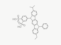 CCc1ccc2c(c1)C(c1ccccc1)c1cc3c(cc1-2)C(c1ccc(S(=O)(=O)O)c(S(=O)(=O)O)c1)c1cc(C(C)C)ccc1-3